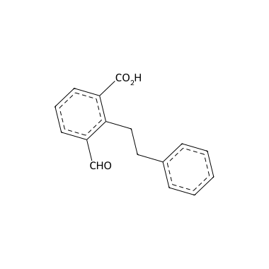 O=Cc1cccc(C(=O)O)c1CCc1ccccc1